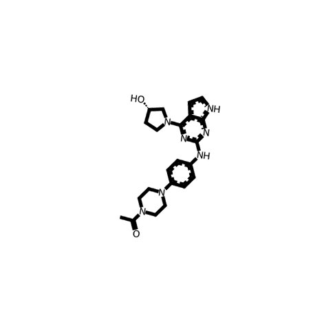 CC(=O)N1CCN(c2ccc(Nc3nc(N4CC[C@H](O)C4)c4cc[nH]c4n3)cc2)CC1